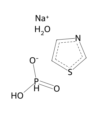 O.O=[PH]([O-])O.[Na+].c1cscn1